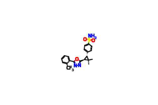 CC1(C)[C@@H](c2ccc(S(N)(=O)=O)cc2)[C@@H]1c1nnc(-c2ccccc2C(F)(F)F)o1